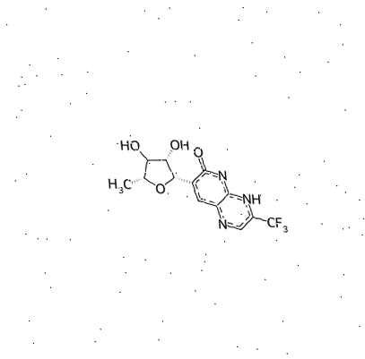 C[C@H]1O[C@@H](c2cc3ncc(C(F)(F)F)[nH]c-3nc2=O)[C@@H](O)C1O